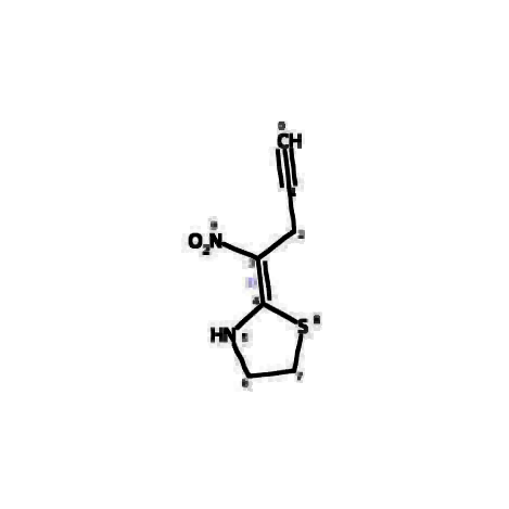 C#CC/C(=C1/NCCS1)[N+](=O)[O-]